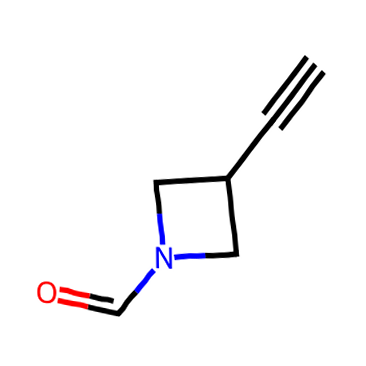 C#CC1CN(C=O)C1